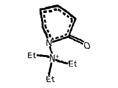 CC[N+](CC)(CC)n1ccccc1=O